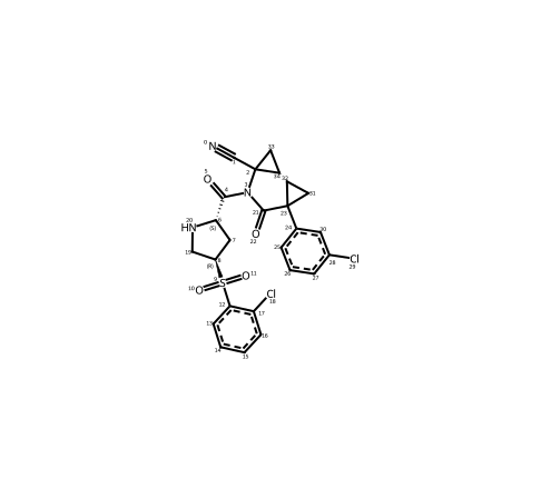 N#CC1(N(C(=O)[C@@H]2C[C@@H](S(=O)(=O)c3ccccc3Cl)CN2)C(=O)C2(c3cccc(Cl)c3)CC2)CC1